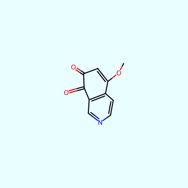 COC1=CC(=O)C(=O)c2cnccc21